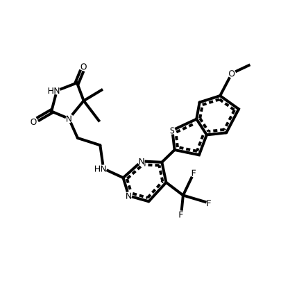 COc1ccc2cc(-c3nc(NCCN4C(=O)NC(=O)C4(C)C)ncc3C(F)(F)F)sc2c1